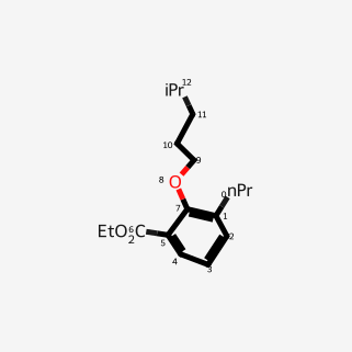 CCCc1cccc(C(=O)OCC)c1OCCCC(C)C